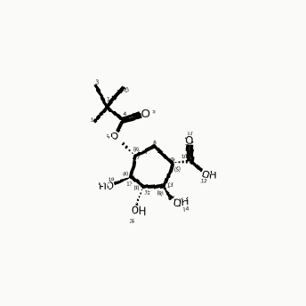 CC(C)(C)C(=O)O[C@@H]1C[C@H](C(=O)O)[C@@H](O)[C@H](O)[C@H]1O